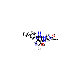 C=CC(=O)N1CCC(NC2=CNN(c3ccc(C(F)(F)F)cc3)C3=C2C(=O)[C@H](C)N=C3)C1